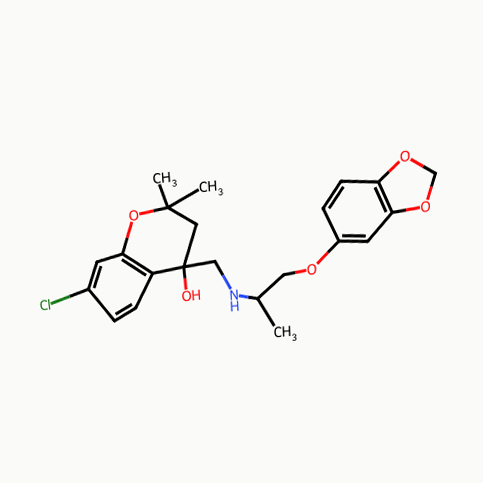 CC(COc1ccc2c(c1)OCO2)NCC1(O)CC(C)(C)Oc2cc(Cl)ccc21